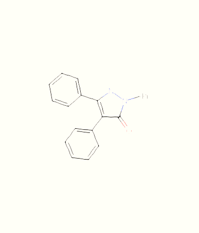 CC(C)n1[nH]c(-c2ccccc2)c(-c2ccccc2)c1=O